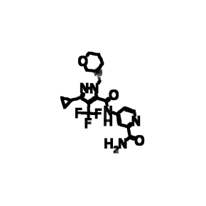 NC(=O)c1cc(NC(=O)c2c(C(F)(F)F)c(C3CC3)nn2C[C@H]2CCCOC2)ccn1